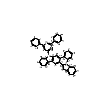 c1ccc(-c2cc(-n3c4ccccc4c4cc5c(cc43)c3ccccc3n3c4ccccc4cc53)nc(-c3ccccc3)n2)cc1